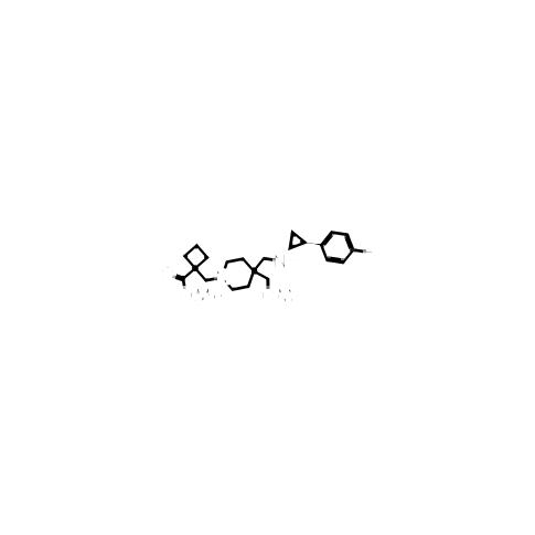 COCC1(CN[C@@H]2C[C@H]2c2ccc(F)cc2)CCN(CC2(C(=O)OC)CCC2)CC1